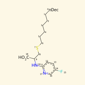 CCCCCCCCCCCCCCCCSCC(Nc1ccc(F)cn1)C(=O)O